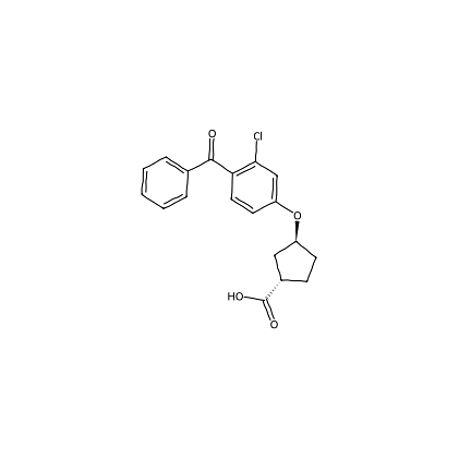 O=C(c1ccccc1)c1ccc(O[C@H]2CC[C@H](C(=O)O)C2)cc1Cl